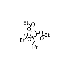 CCC(=O)OC1CC(OC(=O)CC)CC(CCC(C)C)(OC(=O)CC)C1